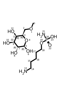 COC[C@H]1O[C@@H](O)[C@H](O)[C@@H](O)[C@H]1O.NCCCCCOP(N)(=O)O